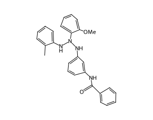 COc1ccccc1N(Nc1cccc(NC(=O)c2ccccc2)c1)Nc1ccccc1C